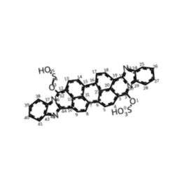 O=S(=O)(O)Oc1c2ccc3c4ccc5c6c(ccc(c7ccc(c2c37)c2nc3ccccc3n12)c46)c(OSO)n1c2ccccc2nc51